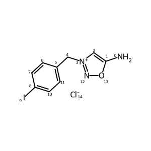 Nc1c[n+](Cc2ccc(I)cc2)no1.[Cl-]